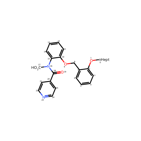 CCCCCCCOc1ccccc1COc1ccccc1N(C(=O)O)C(=O)c1ccncc1